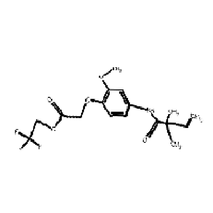 CCC(C)(C)C(=O)Nc1ccc(OCC(=O)OCC(F)(F)F)c(OC)c1